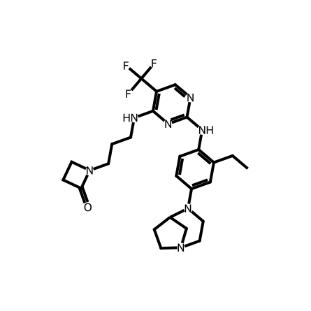 CCc1cc(N2CCN3CCC2C3)ccc1Nc1ncc(C(F)(F)F)c(NCCCN2CCC2=O)n1